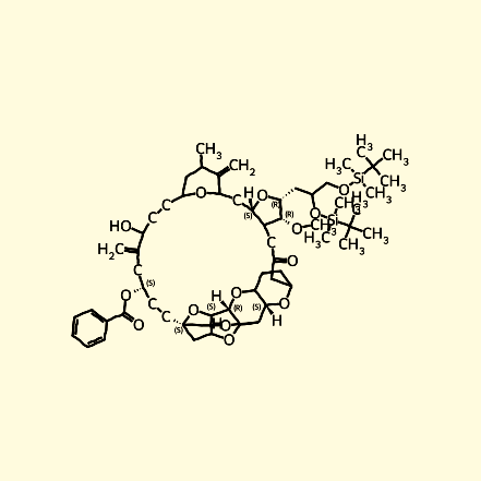 C=C1C[C@@H](OC(=O)c2ccccc2)CC[C@@]23CC4OC5C(O2)[C@H]2OC(CCC2O[C@H]5[C@H]4O3)CC(=O)CC2[C@H](CC3OC(CCC1O)CC(C)C3=C)O[C@H](CC(CO[Si](C)(C)C(C)(C)C)O[Si](C)(C)C(C)(C)C)[C@@H]2OC